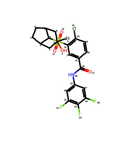 CCC1(O)CC2CCC(C1)C2S(=O)(=O)c1cc(C(=O)Nc2cc(F)c(F)c(F)c2)ccc1Cl